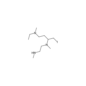 CCN(C)CCC(CI)N(C)CCNC